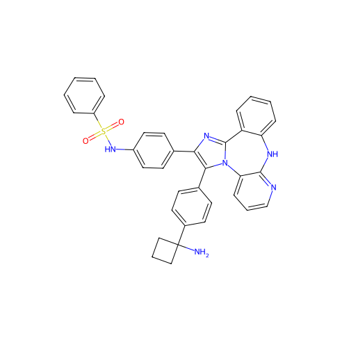 NC1(c2ccc(-c3c(-c4ccc(NS(=O)(=O)c5ccccc5)cc4)nc4n3-c3cccnc3Nc3ccccc3-4)cc2)CCC1